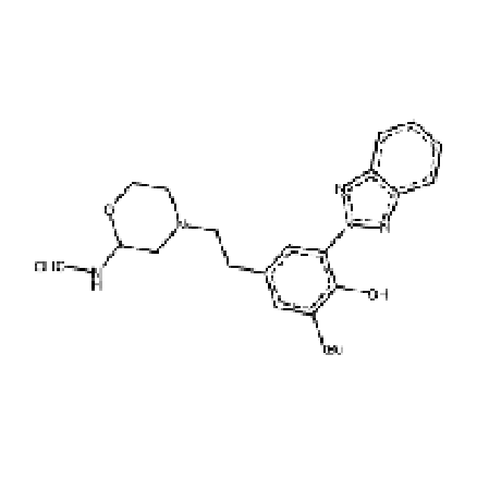 CC(C)(C)c1cc(CCN2CCOC(NC=O)C2)cc(-n2nc3ccccc3n2)c1O